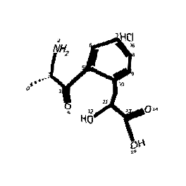 C[C@H](N)C(=O)c1ccccc1C(O)C(=O)O.Cl